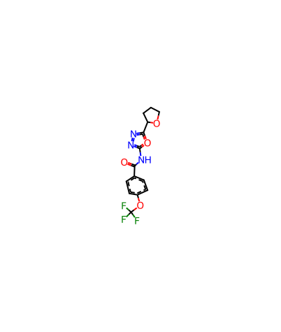 O=C(Nc1nnc(C2CCCO2)o1)c1ccc(OC(F)(F)F)cc1